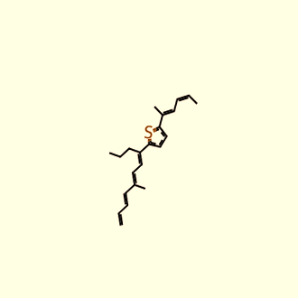 C=C/C=C/C(C)=C/C=C(\CCC)c1ccc(/C(C)=C/C=C\C)s1